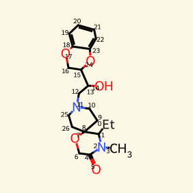 CCC1N(C)C(=O)COC12CCN(CC(O)C1COc3ccccc3O1)CC2